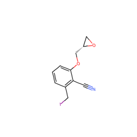 N#Cc1c(CI)cccc1OC[C@@H]1CO1